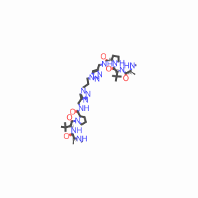 CN[C@@H](C)C(=O)N[C@H](C(=O)N1CCCC1C(=O)NCc1cn(CCCn2cc(CNC(=O)[C@H]3CCCN3C(=O)[C@@H](NC(=O)[C@H](C)NC)C(C)(C)C)nn2)nn1)C(C)(C)C